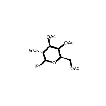 CC(=O)OC[C@H]1OC(C(C)C)[C@H](OC(C)=O)[C@@H](OC(C)=O)C1OC(C)=O